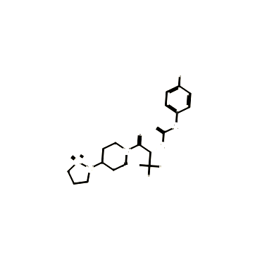 CC(C)(C)[C@@H](NC(=O)Nc1ccc(Cl)cc1)C(=O)N1CCC(N2CCCS2(=O)=O)CC1